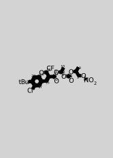 CC(CO[N+](=O)[O-])OC(=O)OC(C)OC(=O)C1=Cc2cc(Cl)c(C(C)(C)C)cc2OC1C(F)(F)F